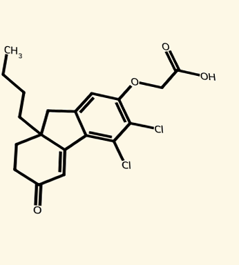 CCCCC12CCC(=O)C=C1c1c(cc(OCC(=O)O)c(Cl)c1Cl)C2